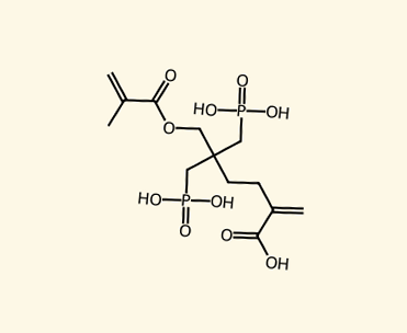 C=C(C)C(=O)OCC(CCC(=C)C(=O)O)(CP(=O)(O)O)CP(=O)(O)O